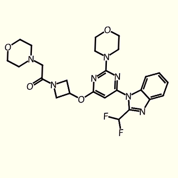 O=C(CN1CCOCC1)N1CC(Oc2cc(-n3c(C(F)F)nc4ccccc43)nc(N3CCOCC3)n2)C1